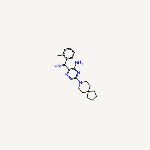 Cc1ccccc1C(=N)c1ncc(N2CCC3(CCCC3)CC2)nc1N